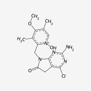 COc1c(C)c[n+](O)c(CN2C(=O)Cc3c(Cl)nc(N)nc32)c1C